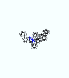 c1ccc(-c2cccc(-c3cc(-c4ccccc4-c4ccc(-c5ccc6c7c(cccc57)-c5ccccc5-6)cc4)nc(-c4ccccc4)n3)c2)cc1